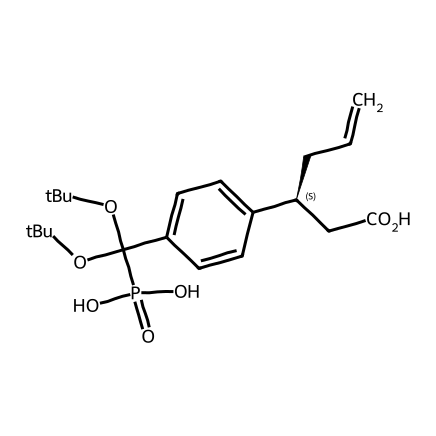 C=CC[C@@H](CC(=O)O)c1ccc(C(OC(C)(C)C)(OC(C)(C)C)P(=O)(O)O)cc1